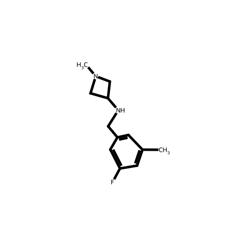 Cc1cc(F)cc(CNC2CN(C)C2)c1